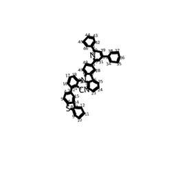 N#Cc1c(-c2ccc3sc4ccccc4c3c2)cccc1-n1c2ccccc2c2cc(-c3cc(-c4ccccc4)cc(-c4ccccc4)n3)ccc21